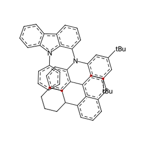 CC(C)(C)c1cc(N(c2ccccc2-c2cccc3cccc(C4CCCCC4)c23)c2cccc3c4ccccc4n(-c4ccccc4)c23)cc(C(C)(C)C)c1